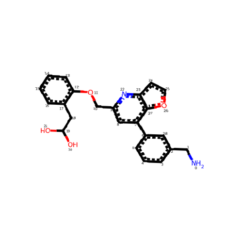 NCc1cccc(-c2cc(COc3ccccc3CC(O)O)nc3ccoc23)c1